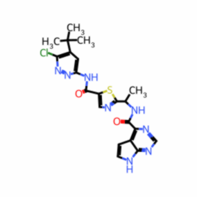 CC(NC(=O)c1ncnc2[nH]ccc12)c1ncc(C(=O)Nc2cc(C(C)(C)C)c(Cl)nn2)s1